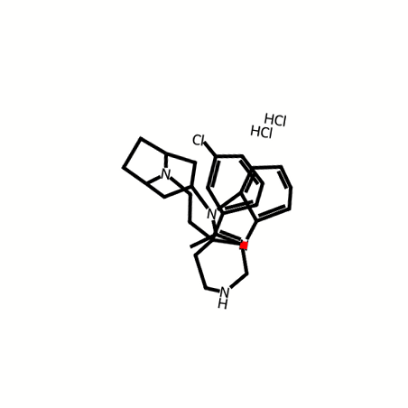 Cc1nc2ccccc2n1C1CC2CCC(C1)N2CCC1(c2cccc(Cl)c2)CCNCC1.Cl.Cl